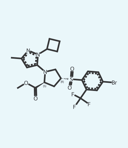 COC(=O)[C@@H]1C[C@@H](S(=O)(=O)c2ccc(Br)cc2C(F)(F)F)CN1c1cc(C)nn1C1CCC1